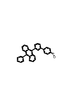 O=Pc1ccc(-c2cccc(-c3c4ccccc4c(-c4ccccc4)c4ccccc34)c2)cc1